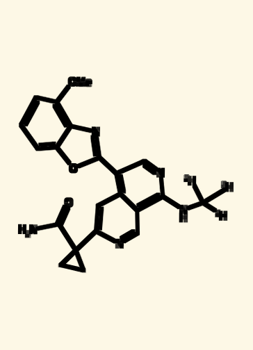 [2H]C([2H])([2H])Nc1ncc(-c2nc3c(OC)cccc3o2)c2cc(C3(C(N)=O)CC3)ncc12